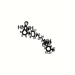 O=c1[nH]c2cccc(N3CCN(CCCCNS(=O)(=O)c4cccc(F)c4)CC3)c2[nH]1